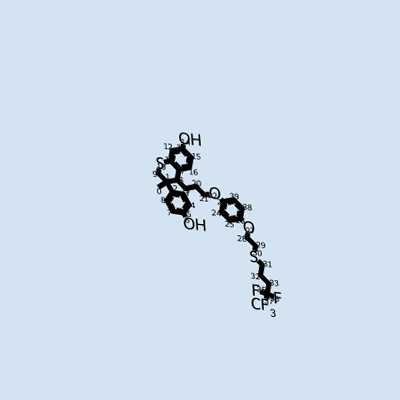 CC1(c2ccc(O)cc2)CSc2cc(O)ccc2C1CCCOc1ccc(OCCSCCCC(F)(F)C(F)(F)F)cc1